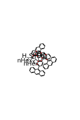 CCCCCCC1=Cc2c(-c3c4ccccc4cc4ccccc34)ccc(-c3c4ccccc4cc4ccccc34)c2[CH]1[Zr]([CH3])([CH3])(=[SiH2])[CH]1C(CCCCCC)=Cc2c(-c3c4ccccc4cc4ccccc34)ccc(-c3c4ccccc4cc4ccccc34)c21